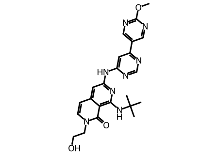 COc1ncc(-c2cc(Nc3cc4ccn(CCO)c(=O)c4c(NC(C)(C)C)n3)ncn2)cn1